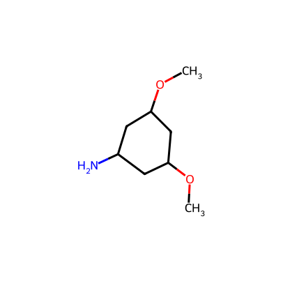 COC1CC(N)CC(OC)C1